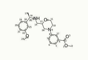 COC(=O)c1cccc(N2CCOC(CN[C@H](C)c3cccc(OC)c3)C2)c1